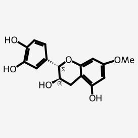 COc1cc(O)c2c(c1)O[C@@H](c1ccc(O)c(O)c1)[C@H](O)C2